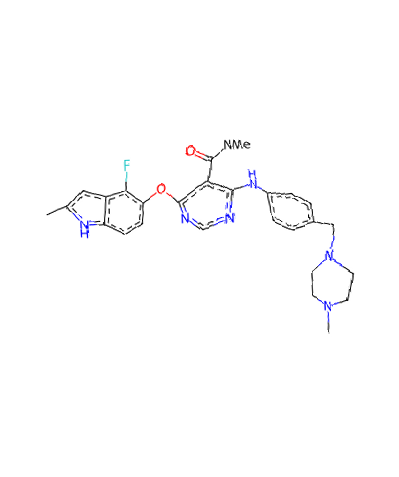 CNC(=O)c1c(Nc2ccc(CN3CCN(C)CC3)cc2)ncnc1Oc1ccc2[nH]c(C)cc2c1F